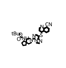 CC(C)(C)OC(=O)N[C@@H]1CCCC12CCN(c1ncc(Sc3ccnc4c(C#N)cccc34)c3nccn13)CC2